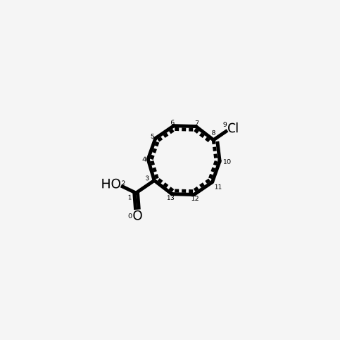 O=C(O)c1ccccc(Cl)cccc1